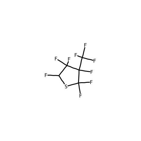 FC1SC(F)(F)C(F)(C(F)(F)F)C1(F)F